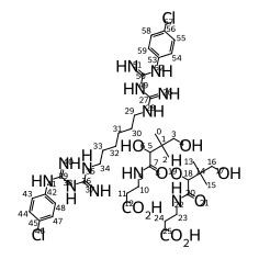 CC(C)(CO)C(O)C(=O)NCCC(=O)O.CC(C)(CO)C(O)C(=O)NCCC(=O)O.N=C(NCCCCCCNC(=N)NC(=N)Nc1ccc(Cl)cc1)NC(=N)Nc1ccc(Cl)cc1